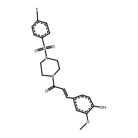 COc1cc(/C=C/C(=O)N2CCN(S(=O)(=O)c3ccc(F)cc3)CC2)ccc1O